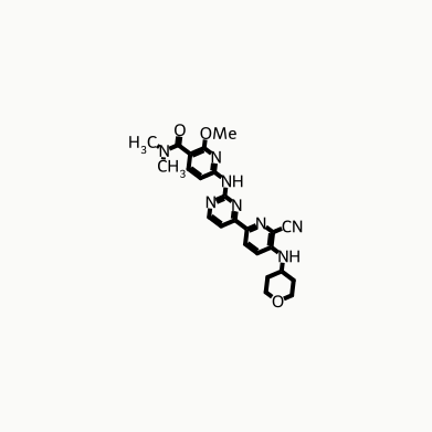 COc1nc(Nc2nccc(-c3ccc(NC4CCOCC4)c(C#N)n3)n2)ccc1C(=O)N(C)C